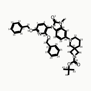 Cn1c(=O)n(-c2ccc(OCc3ccccc3)nc2OCc2ccccc2)c2ccc(N3CCCC4(CN(C(=O)OC(C)(C)C)C4)C3)cc21